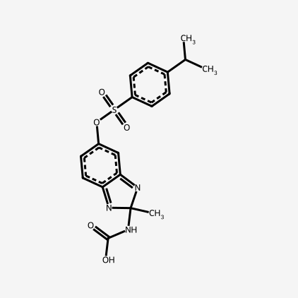 CC(C)c1ccc(S(=O)(=O)Oc2ccc3c(c2)=NC(C)(NC(=O)O)N=3)cc1